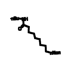 CCC[CH]NC(=O)CCCCCCCCCCCCCCCCC